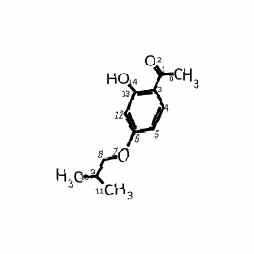 CC(=O)c1ccc(OCC(C)C)cc1O